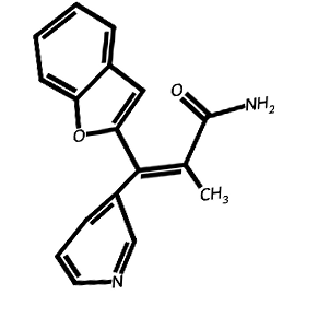 CC(C(N)=O)=C(c1cccnc1)c1cc2ccccc2o1